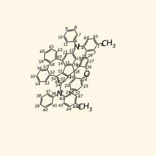 Cc1ccc(N(c2ccccc2)c2cc3c4c(c2)C2(c5ccccc5Oc5ccccc52)c2cc(N(c5ccccc5)c5ccc(C)cc5)cc(c2-4)-c2ccccc2-c2ccccc2-3)cc1